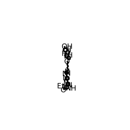 CCN1C(=O)CNc2ncc(-c3ccc(-c4ncn(CCCCCO[C@H]5CC[C@H]6[C@@H]7CC[C@H]8CC(O)CC[C@]8(C)[C@H]7CC[C@]56C)n4)nc3C)nc21